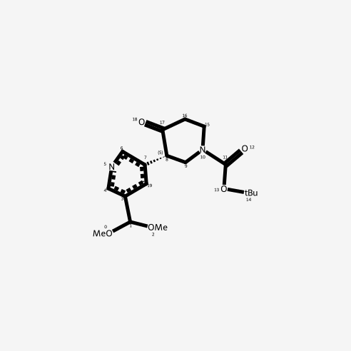 COC(OC)c1cncc([C@H]2CN(C(=O)OC(C)(C)C)CCC2=O)c1